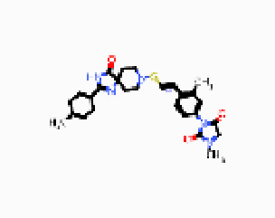 Cc1cc(N2C(=O)CN(C)C2=O)ccc1/C=C/SN1CCC2(CC1)N=C(C1CCC(C)CC1)NC2=O